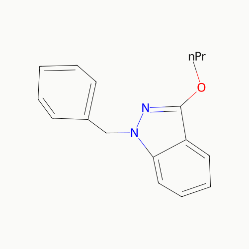 CCCOc1nn(Cc2ccccc2)c2ccccc12